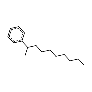 CCCCCCCCC(C)c1ccccc1